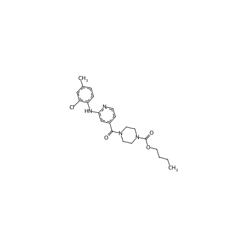 CCCCOC(=O)N1CCN(C(=O)c2ccnc(Nc3ccc(C)cc3Cl)c2)CC1